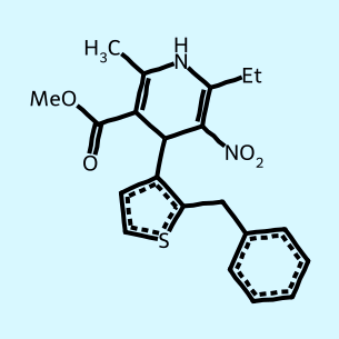 CCC1=C([N+](=O)[O-])C(c2ccsc2Cc2ccccc2)C(C(=O)OC)=C(C)N1